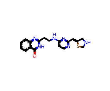 O=c1[nH]c(CCNc2ccnc(C=C3CNCS3)n2)nc2ccccc12